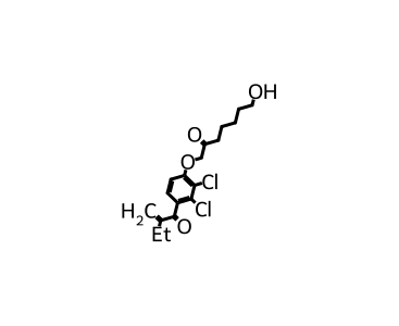 C=C(CC)C(=O)c1ccc(OCC(=O)CCCCCO)c(Cl)c1Cl